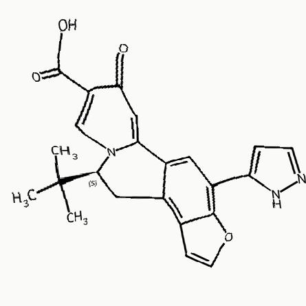 CC(C)(C)[C@@H]1Cc2c(cc(-c3ccn[nH]3)c3occc23)-c2cc(=O)c(C(=O)O)cn21